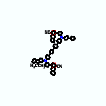 CC1(C)c2ccccc2-c2ccc(N(c3ccc(-c4ccc(-c5ccc(-c6ccc(N(c7ccc(-c8ccccc8)cc7)c7cccc(-c8ccc(C#N)c9c8C8c%10ccccc%10C9c9ccccc98)c7)cc6)cc5)cc4)cc3)c3cccc(-c4ccc(C#N)c5c4C4c6ccccc6C5c5ccccc54)c3)cc21